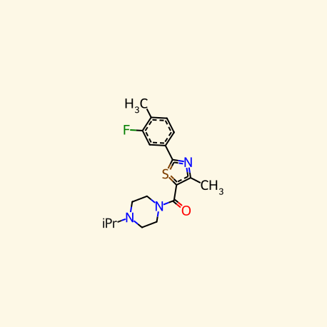 Cc1ccc(-c2nc(C)c(C(=O)N3CCN(C(C)C)CC3)s2)cc1F